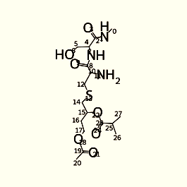 CNC(=O)C(CO)NC(=O)C(N)CSCC(CCOC(C)=O)OC(=O)C(C)C